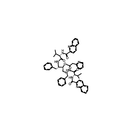 CC(C)[C@H](NC(=O)c1ccc2ccccc2n1)C(=O)N[C@@H](Cc1ccccc1)[C@H](CN(Cc1ccccc1)NC(=O)[C@@H](NC(=O)c1ccc2ccccc2n1)C(C)C)OC(=O)Cc1ccccn1